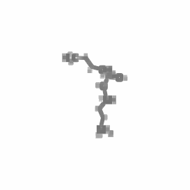 CCCO[PH](=O)ONCCN